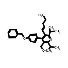 CCC/C=C/c1c(C(C)C)nc(C(C)C)c(CO)c1-c1ccc(OCc2ccccc2)cc1